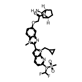 Cn1c(-c2cc3ccc(N(C(F)F)S(C)(=O)=O)nc3n2CC2CC2)nc2cc(OCC(=O)N3[C@H]4CC[C@@H]3[C@H](N)C4)ccc21